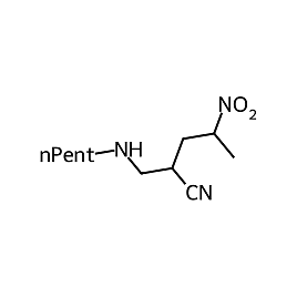 CCCCCNCC(C#N)CC(C)[N+](=O)[O-]